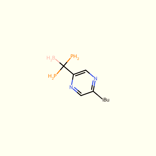 BC(P)(P)c1cnc(C(C)CC)cn1